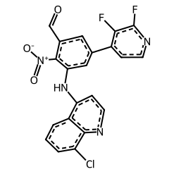 O=Cc1cc(-c2ccnc(F)c2F)cc(Nc2ccnc3c(Cl)cccc23)c1[N+](=O)[O-]